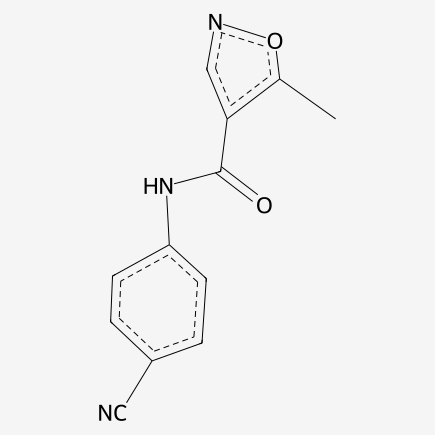 Cc1oncc1C(=O)Nc1ccc(C#N)cc1